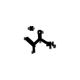 C=C(C)C(N)=O.[K]